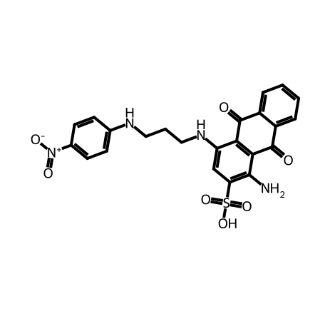 Nc1c(S(=O)(=O)O)cc(NCCCNc2ccc([N+](=O)[O-])cc2)c2c1C(=O)c1ccccc1C2=O